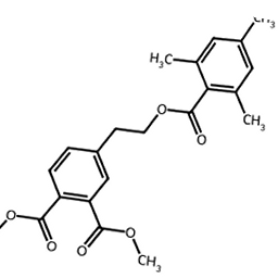 COC(=O)c1ccc(CCOC(=O)c2c(C)cc(C)cc2C)cc1C(=O)OC